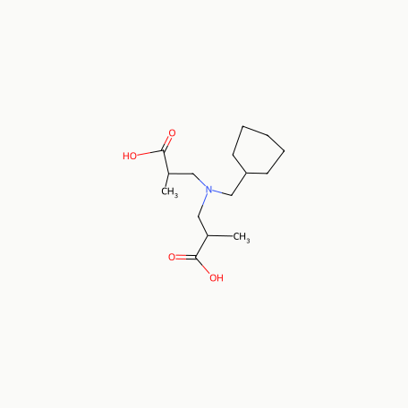 CC(CN(CC1CCCCC1)CC(C)C(=O)O)C(=O)O